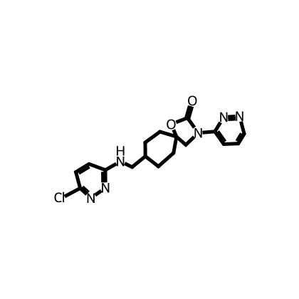 O=C1OC2(CCC(CNc3ccc(Cl)nn3)CC2)CN1c1cccnn1